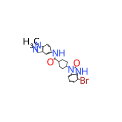 Cn1ncc2cc(NC(=O)C3CCC(n4c(=O)[nH]c5c(Br)cccc54)CC3)ccc21